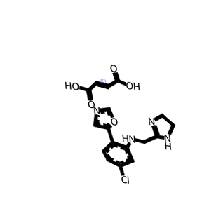 Clc1ccc(-c2cnco2)c(NCC2=NCCN2)c1.O=C(O)/C=C/C(=O)O